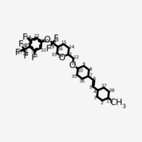 CC1CCC(/C=C/C2CCC(OCC3CCC(C(F)(F)Oc4cc(F)c(C(F)(F)F)c(F)c4)CO3)CC2)CC1